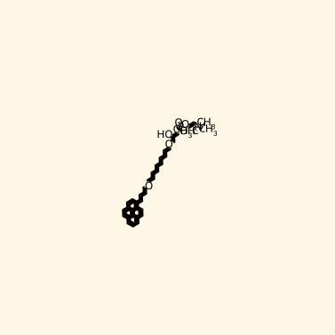 C[N+](C)(C)CCOP(=O)(O)OCC(O)COCCCCCCCCCCOCCCCc1ccc2ccc3cccc4ccc1c2c34